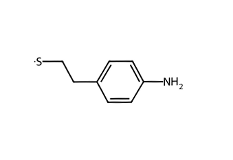 Nc1ccc(CC[S])cc1